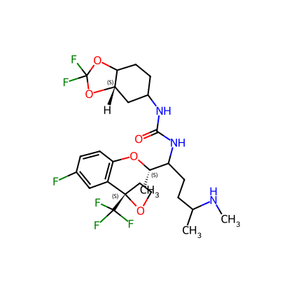 CNC(C)CCC(NC(=O)NC1CCC2OC(F)(F)O[C@H]2C1)[C@H](C)Oc1ccc(F)cc1[C@]1(C(F)(F)F)CCO1